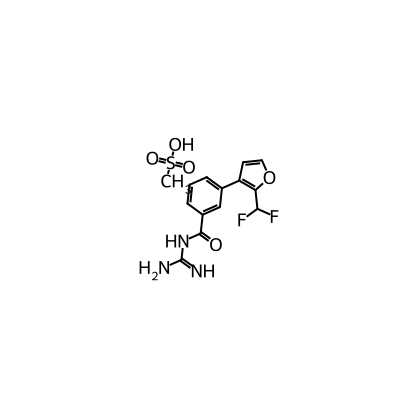 CS(=O)(=O)O.N=C(N)NC(=O)c1cccc(-c2ccoc2C(F)F)c1